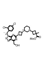 COC(=O)C1(C)CC(N2CCC[C@H](C3CN(c4nc(CO)c5nnn([C@H](C)c6ccc(Cl)cc6Cl)c5n4)C3)C2)C1